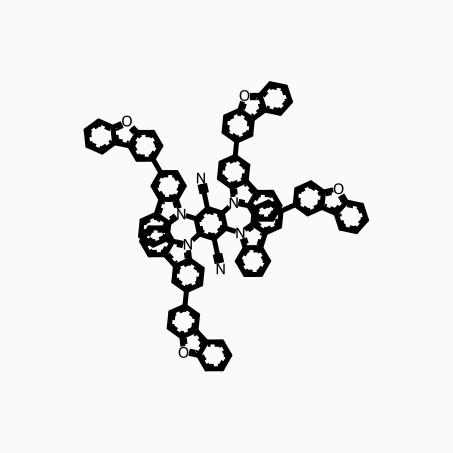 N#Cc1c(-n2c3ccccc3c3cc(-c4ccc5oc6ccccc6c5c4)ccc32)c(-n2c3ccccc3c3cc(-c4ccc5oc6ccccc6c5c4)ccc32)c(C#N)c(-n2c3ccccc3c3cc(-c4ccc5oc6ccccc6c5c4)ccc32)c1-n1c2ccccc2c2cc(-c3ccc4oc5ccccc5c4c3)ccc21